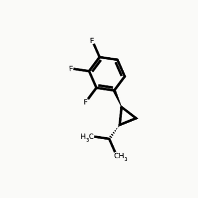 CC(C)[C@H]1C[C@@H]1c1ccc(F)c(F)c1F